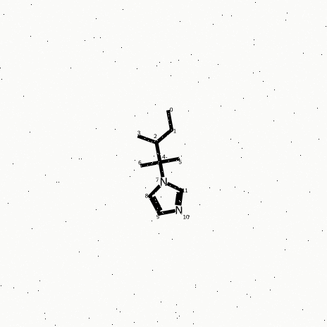 CCC(C)C(C)(C)n1ccnc1